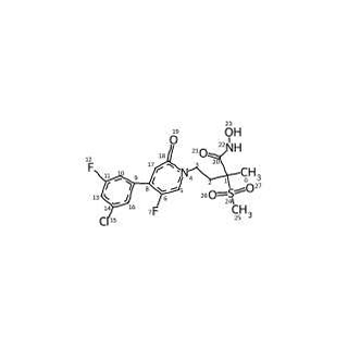 CC(CCn1cc(F)c(-c2cc(F)cc(Cl)c2)cc1=O)(C(=O)NO)S(C)(=O)=O